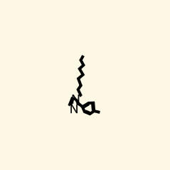 CCCCCCCCCn1ccnc1-c1ccc(C)cc1